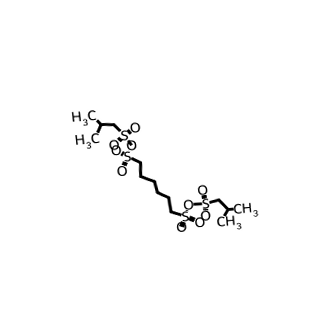 CC(C)CS(=O)(=O)OS(=O)(=O)CCCCCCS(=O)(=O)OS(=O)(=O)CC(C)C